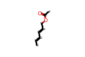 CC=CC=CCOC(C)=O